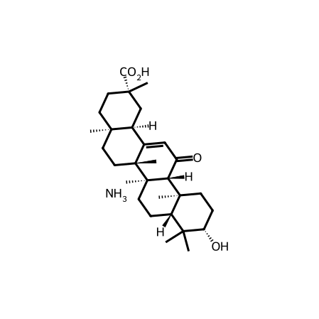 CC1(C)[C@@H](O)CC[C@]2(C)[C@H]3C(=O)C=C4[C@@H]5C[C@@](C)(C(=O)O)CC[C@]5(C)CC[C@@]4(C)[C@]3(C)CC[C@@H]12.N